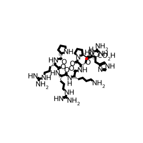 N=C(N)NCCC[C@H](NC(=O)[C@@H]1CCCN1)C(=O)N[C@@H](CCCNC(=N)N)C(=O)N[C@@H](CCCCN)C(=O)N[C@@H](CCCNC(=N)N)C(=O)N1CCC[C@H]1C(=O)N[C@@H](Cc1c[nH]cn1)C(=O)O